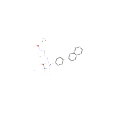 CC1(C)N=C(c2ccc(-c3ccc4cccc(F)c4c3)cc2)N(C[C@@H]2CCN(C(=O)C3CC3)C2)C1=O